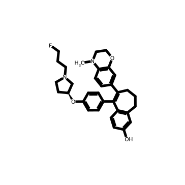 CN1CCOc2cc(C3=C(c4ccc(O[C@H]5CCN(CCCF)C5)cc4)c4ccc(O)cc4CCC3)ccc21